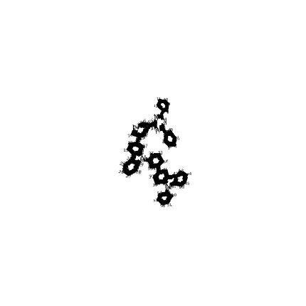 c1ccc(-c2nc(-c3ccccc3)nc(-c3cncc(-c4ccc5c6ccccc6n(-c6cccc(-c7ccc8c(c7)c7ccccc7n8-c7ccccc7)c6)c5c4)c3)n2)cc1